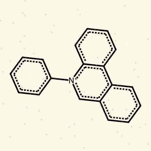 c1ccc(-[n+]2cc3ccccc3c3ccccc32)cc1